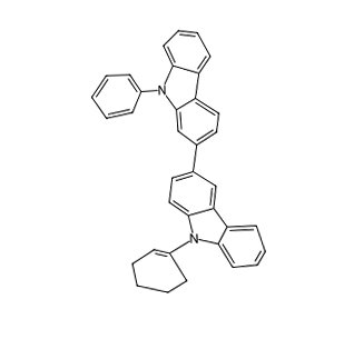 C1=C(n2c3ccccc3c3cc(-c4ccc5c6ccccc6n(-c6ccccc6)c5c4)ccc32)CCCC1